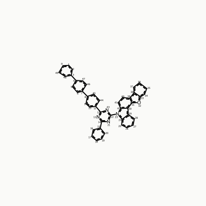 c1ccc(-c2ccc(-c3ccc(-c4nc(-c5ccccc5)nc(-n5c6ccccc6c6c7oc8ccccc8c7ccc65)n4)cc3)cc2)cc1